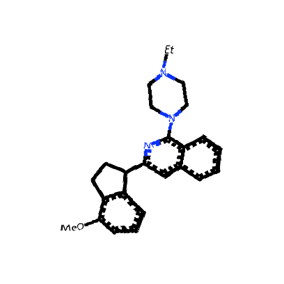 CCN1CCN(c2nc(C3CCc4c(OC)cccc43)cc3ccccc23)CC1